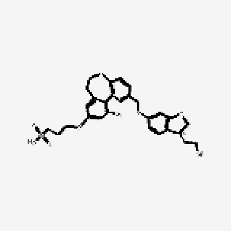 Cc1cc(OCCCS(C)(=O)=O)cc2c1-c1cc(COc3ccc4c(c3)OC[C@H]4CCO)ccc1OCC2